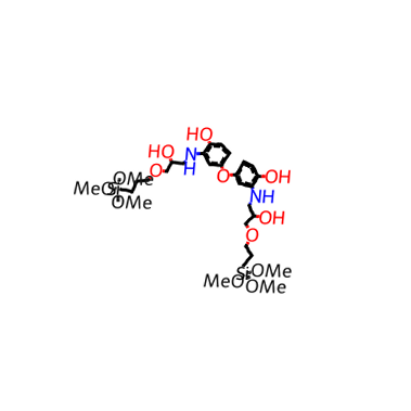 CO[Si](CCCOCC(O)CNc1cc(Oc2ccc(O)c(NCC(O)COCCC[Si](OC)(OC)OC)c2)ccc1O)(OC)OC